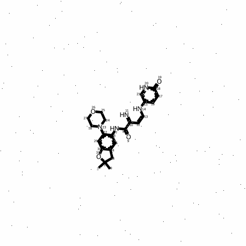 CC1(C)Cc2cc(NC(=O)C(=N)/C=C\Nc3ccc(=O)[nH]c3)c(N3CCOCC3)cc2O1